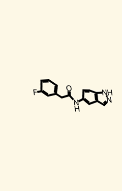 O=C(Cc1cccc(F)c1)Nc1ccc2[nH]ncc2c1